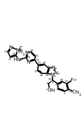 Cc1ccc([C@@H](CO)n2nnc3cc(-c4ccnc(Nc5ccnn5C)n4)ccc32)cc1F